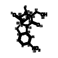 CN1C(=O)[C@@]23Cc4ccc([N+](=O)[O-])cc4N2C(=O)[C@@]1(CO)SS3